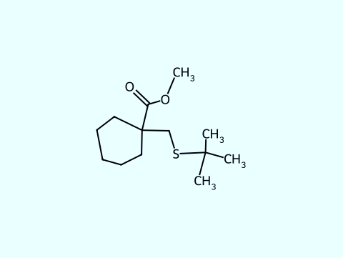 COC(=O)C1(CSC(C)(C)C)CCCCC1